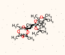 C[SiH]1O[SiH](C)O[Si](C)(CC[Si](C)(O[Si](C)(C)C)O[Si](C)(C)O[Si](C)(C)C)O[SiH](C)O1